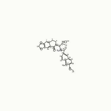 CCC(N1CCc2cc3c(cc2C1=O)OCO3)N(C)C(C)c1ccc2c(C)c(OC)ccc2c1.Cl